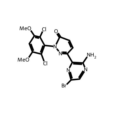 COc1cc(OC)c(Cl)c(-n2nc(-c3nc(Br)cnc3N)ccc2=O)c1Cl